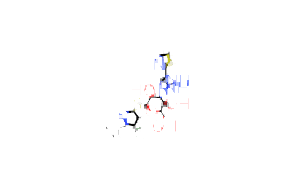 N#Cc1ncc(S[C@H]2OC(CO)[C@H](O)C(N3C=C(c4nccs4)NN3)C2O)cc1Cl